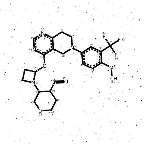 COc1ncc(N2CCc3ncnc(OC4CCN4C4COCCC4C=O)c3C2)cc1C(F)(F)F